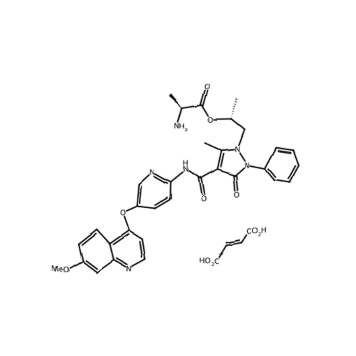 COc1ccc2c(Oc3ccc(NC(=O)c4c(C)n(C[C@@H](C)OC(=O)[C@H](C)N)n(-c5ccccc5)c4=O)nc3)ccnc2c1.O=C(O)/C=C/C(=O)O